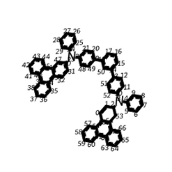 C1=CC(N(c2ccccc2)c2ccc(-c3cccc(-c4ccc(N(c5ccccc5)c5ccc6c7ccccc7c7ccccc7c6c5)cc4)c3)cc2)Cc2c1c1ccccc1c1ccccc21